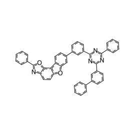 c1ccc(-c2cccc(-c3nc(-c4ccccc4)nc(-c4cccc(-c5ccc6c(c5)oc5ccc7nc(-c8ccccc8)oc7c56)c4)n3)c2)cc1